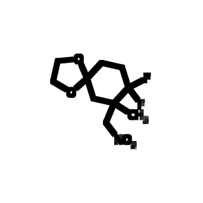 CC1(C[N+](=O)[O-])CC2(CCC1(F)F)OCCO2